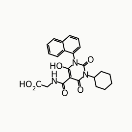 O=C(O)CNC(=O)c1c(O)n(-c2cccc3ccccc23)c(=O)n(C2CCCCC2)c1=O